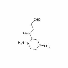 CN1CCN(N)C(C(=O)CCC=O)C1